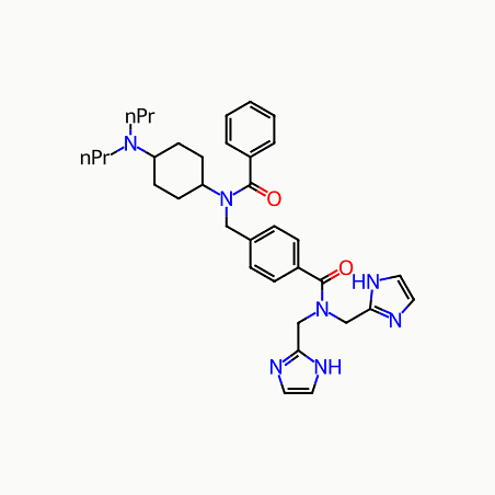 CCCN(CCC)C1CCC(N(Cc2ccc(C(=O)N(Cc3ncc[nH]3)Cc3ncc[nH]3)cc2)C(=O)c2ccccc2)CC1